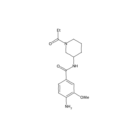 CCC(=O)N1CCCC(NC(=O)c2ccc(N)c(OC)c2)C1